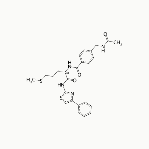 CSCCC[C@H](NC(=O)c1ccc(CNC(C)=O)cc1)C(=O)Nc1nc(-c2ccccc2)cs1